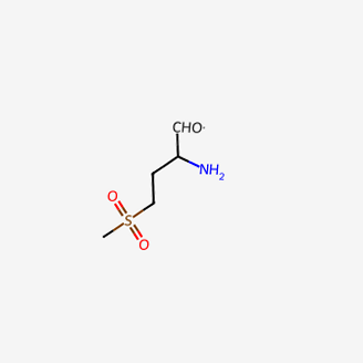 CS(=O)(=O)CCC(N)[C]=O